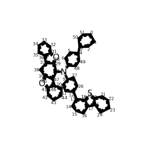 c1ccc(-c2ccc(N(c3ccc(-c4cccc5c4sc4ccccc45)cc3)c3c4oc5ccccc5c4cc4oc5ccccc5c34)cc2)cc1